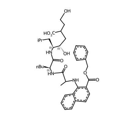 CCCC[C@H](NC(=O)C(C)Nc1c(C(=O)OCc2ccccc2)ccc2ccccc12)C(=O)N[C@@H](CC(C)C)[C@@H](O)CC(CCO)C(=O)O